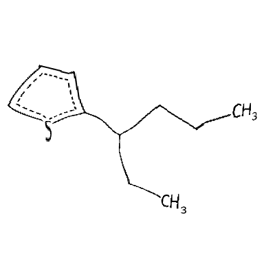 CCCC(CC)c1cccs1